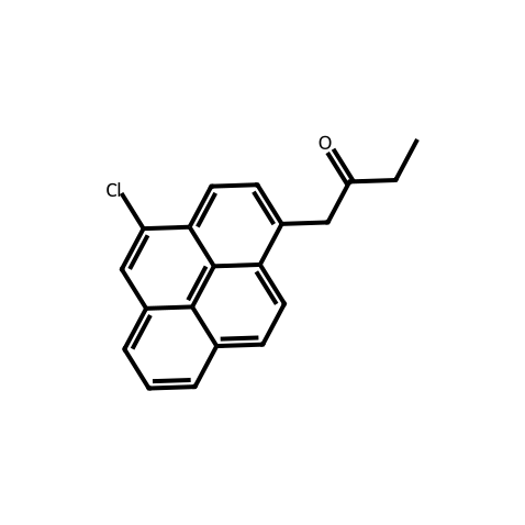 CCC(=O)Cc1ccc2c(Cl)cc3cccc4ccc1c2c43